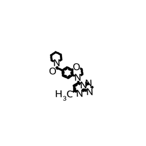 Cc1cc(N2CCOc3cc(C(=O)N4CCCCC4)ccc32)n2ncnc2n1